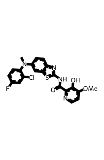 COc1ccnc(C(=O)Nc2nc3ccc(N(C)c4ccc(F)cc4Cl)cc3s2)c1O